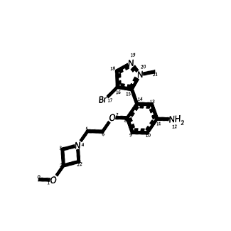 COC1CN(CCOc2ccc(N)cc2-c2c(Br)cnn2C)C1